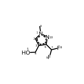 Cn1cc(CO)c(C(F)F)n1